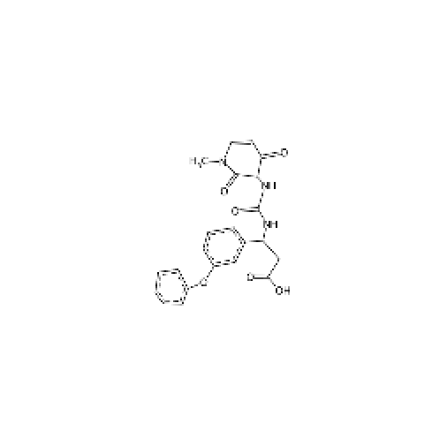 CN1C=CC(=O)C(NC(=O)NC(CC(=O)O)c2cccc(Oc3ccccc3)c2)C1=O